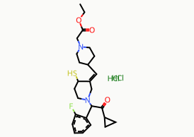 CCOC(=O)CN1CCC(/C=C2/CN(C(C(=O)C3CC3)c3ccccc3F)CCC2S)CC1.Cl.Cl